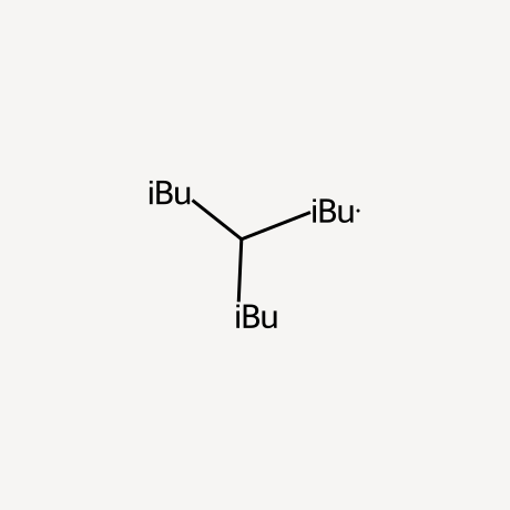 CC[C](C)C(C(C)CC)C(C)CC